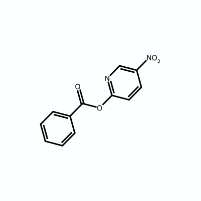 O=C(Oc1ccc([N+](=O)[O-])cn1)c1ccccc1